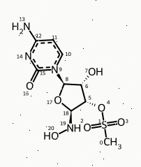 CS(=O)(=O)O[C@H]1[C@@H](O)[C@H](n2ccc(N)nc2=O)O[C@@H]1NO